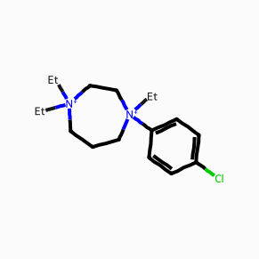 CC[N+]1(CC)CCC[N+](CC)(c2ccc(Cl)cc2)CC1